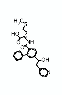 CSCC[C@H](NC(=O)c1ccc(C(O)Cc2cccnc2)cc1-c1ccccc1)C(=O)O